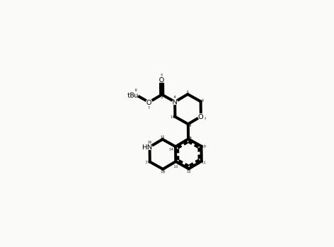 CC(C)(C)OC(=O)N1CCOC(c2cccc3c2CNCC3)C1